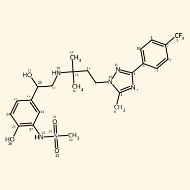 Cc1nc(-c2ccc(C(F)(F)F)cc2)nn1CCC(C)(C)NCC(O)c1ccc(O)c(NS(C)(=O)=O)c1